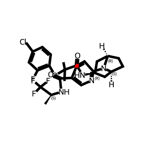 C[C@H](NC(=O)c1ccc(N2[C@@H]3CC[C@H]2C[C@@H](NC(=O)C(C)(C)Oc2ccc(Cl)cc2F)C3)nc1)C(F)(F)F